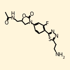 CC(=O)NCC1CN(c2ccc(-c3nnc(CCN)s3)c(F)c2)C(=O)O1